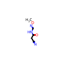 CON=CNC(=O)[CH]C#N